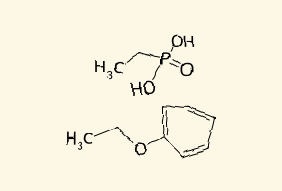 CCOc1ccccc1.CCP(=O)(O)O